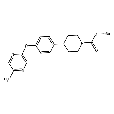 Cc1cnc(Oc2ccc(C3CCN(C(=O)OC(C)(C)C)CC3)cc2)cn1